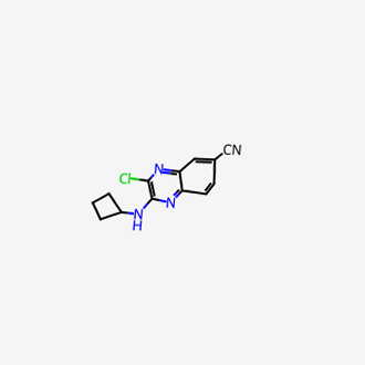 N#Cc1ccc2nc(NC3CCC3)c(Cl)nc2c1